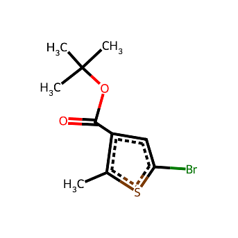 Cc1sc(Br)cc1C(=O)OC(C)(C)C